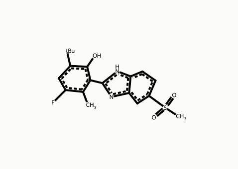 Cc1c(F)cc(C(C)(C)C)c(O)c1-c1nc2cc(S(C)(=O)=O)ccc2[nH]1